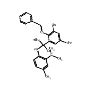 CCCCC(C)(Pc1ccc(C)cc1N(C)C)c1cc(C(C)(C)C)cc(C(C)(C)C)c1OCc1ccccc1